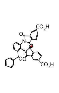 O=C(O)c1ccc2c(c1)C(=O)N(c1cccc(C(=O)c3ccccc3)c1N1C(=O)c3ccc(C(=O)O)cc3C1=O)C2=O